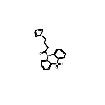 O=C(CCCn1ccnc1)N1c2ccccc2S(=O)(=O)c2ccccc21